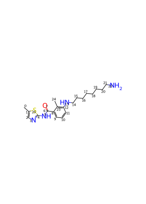 Cc1cnc(NC(=O)c2cccc(NCCCCCCCCN)c2C)s1